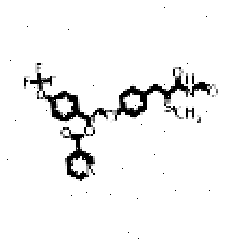 CSC(Cc1ccc(OC[C@@H](OC(=O)c2cccnc2)c2ccc(OC(F)(F)F)cc2)cc1)C(=O)NC=O